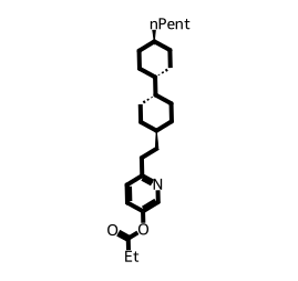 CCCCC[C@H]1CC[C@H]([C@H]2CC[C@H](CCc3ccc(OC(=O)CC)cn3)CC2)CC1